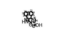 O=C(O)[C@@H]1CSc2c(-c3ccccc3)c3c(-c4ccccc4)n[nH]c3c(=O)n21